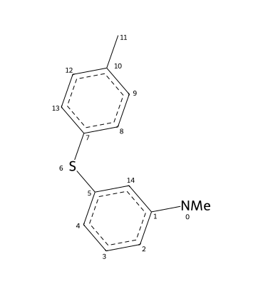 CNc1cccc(Sc2ccc(C)cc2)c1